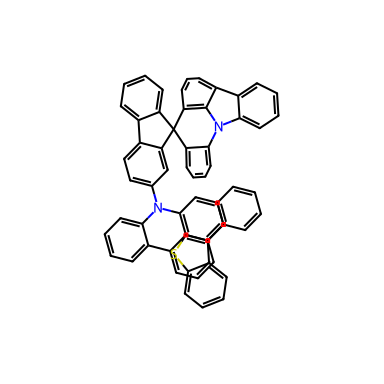 c1ccc(-c2cccc(-c3ccccc3N(c3ccc4c(c3)C3(c5ccccc5-4)c4ccccc4-n4c5ccccc5c5cccc3c54)c3cccc4c3sc3ccccc34)c2)cc1